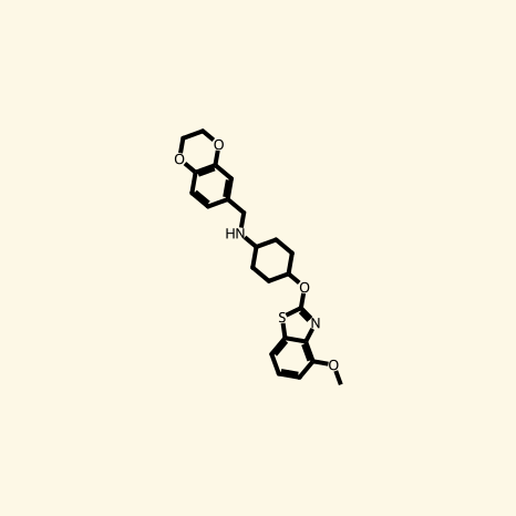 COc1cccc2sc(OC3CCC(NCc4ccc5c(c4)OCCO5)CC3)nc12